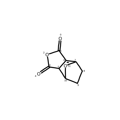 O=C1OC(=O)C2C1=C1CCC2O1